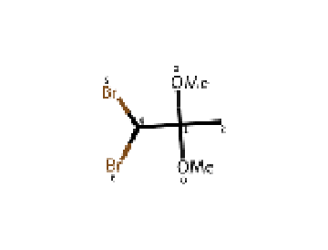 COC(C)(OC)C(Br)Br